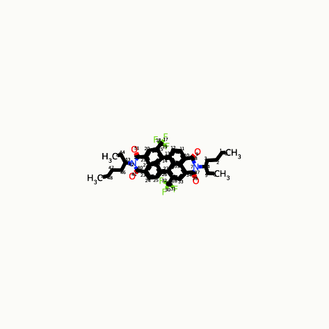 CCCCC(CC)N1C(=O)c2ccc3c4c(C(F)(F)F)cc5c6c(ccc(c7c(C(F)(F)F)cc(c2c37)C1=O)c64)C(=O)N(C(CC)CCCC)C5=O